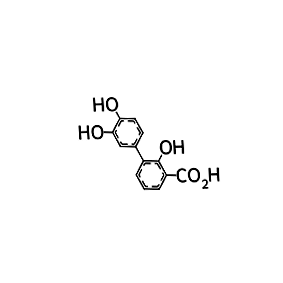 O=C(O)c1cccc(-c2ccc(O)c(O)c2)c1O